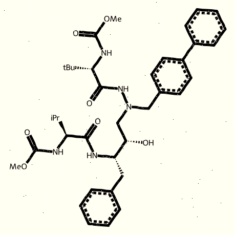 COC(=O)N[C@H](C(=O)N[C@@H](Cc1ccccc1)[C@@H](O)CN(Cc1ccc(-c2ccccc2)cc1)NC(=O)[C@@H](NC(=O)OC)C(C)(C)C)C(C)C